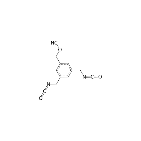 N#COCc1cc(CN=C=O)cc(CN=C=O)c1